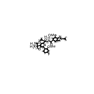 COc1cc(F)ccc1-c1nc([C@](O)(CNC(=O)c2cc(OC)c3nn(C4CC4)cc3c2)C2CC2)cc2c1OC[C@]2(C)C(N)=O